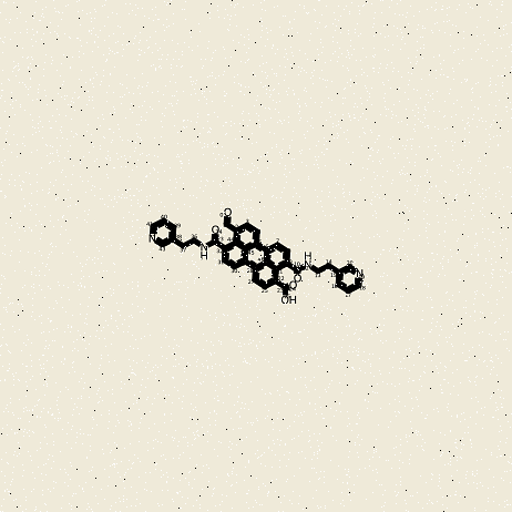 O=Cc1ccc2c3ccc(C(=O)NCCc4cccnc4)c4c(C(=O)O)ccc(c5ccc(C(=O)NCCc6cccnc6)c1c52)c43